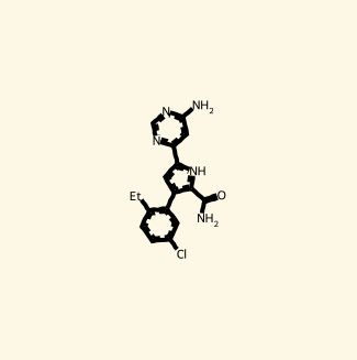 CCc1ccc(Cl)cc1-c1cc(-c2cc(N)ncn2)[nH]c1C(N)=O